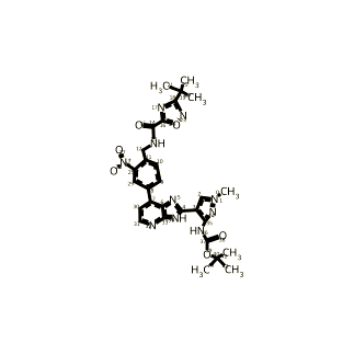 Cn1cc(-c2nc3c(-c4ccc(CNC(=O)c5nc(C(C)(C)C)no5)c([N+](=O)[O-])c4)ccnc3[nH]2)c(NC(=O)OC(C)(C)C)n1